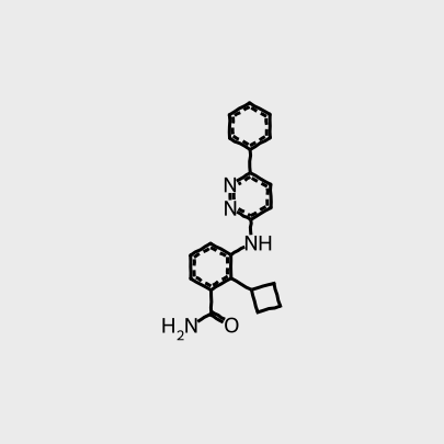 NC(=O)c1cccc(Nc2ccc(-c3ccccc3)nn2)c1C1CCC1